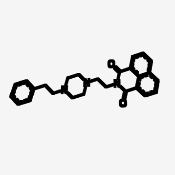 O=C1c2cccc3cccc(c23)C(=O)N1CCN1CCN(CCc2ccccc2)CC1